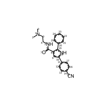 CN(C)CCNC(=O)c1cc(-c2ccc(C#N)cc2)[nH]c1-c1ccccc1